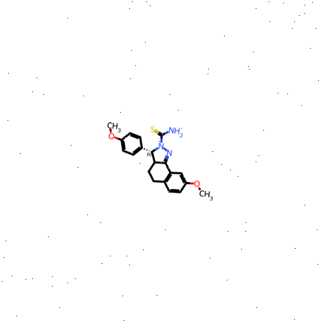 COc1ccc([C@H]2C3CCc4ccc(OC)cc4C3=NN2C(N)=S)cc1